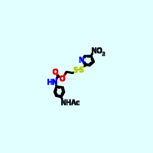 CC(=O)Nc1ccc(NC(=O)OCCSSc2ccc([N+](=O)[O-])cn2)cc1